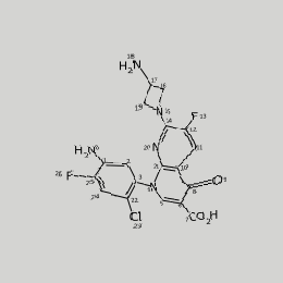 Nc1cc(-n2cc(C(=O)O)c(=O)c3cc(F)c(N4CC(N)C4)nc32)c(Cl)cc1F